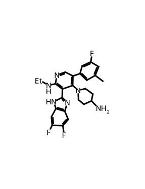 CCNc1ncc(-c2cc(C)cc(F)c2)c(N2CCC(N)CC2)c1-c1nc2cc(F)c(F)cc2[nH]1